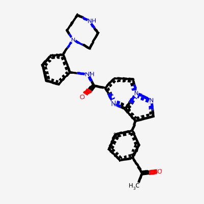 CC(=O)c1cccc(-c2cnn3ccc(C(=O)Nc4ccccc4N4CCNCC4)nc23)c1